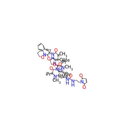 CC[C@H](C)[C@@H]([C@@H](CC(=O)N1CCC[C@H]1[C@H](OC)[C@@H](C)C(=O)N[C@@]1(C(=O)N2CCCCO2)C[C@@H]1c1ccccc1)OC)N(C)[C@H](C(=O)NC(=O)[C@H](C(C)C)N(C)CCCNC(=O)NCCN1C(=O)C=CC1=O)C(C)C